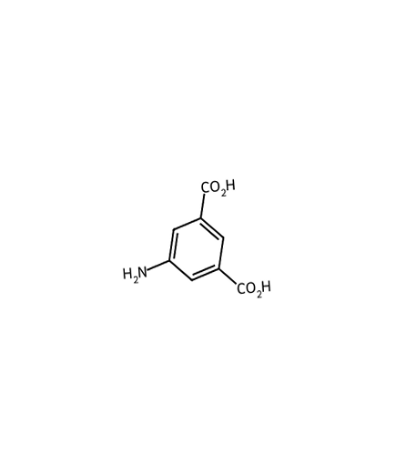 Nc1cc(C(=O)O)cc(C(=O)O)c1